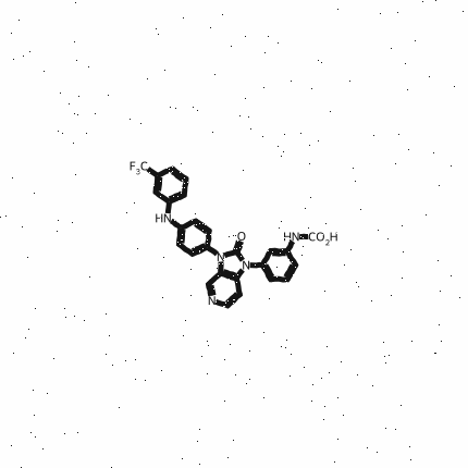 O=C(O)Nc1cccc(-n2c(=O)n(-c3ccc(Nc4cccc(C(F)(F)F)c4)cc3)c3cnccc32)c1